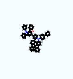 c1ccc(-c2ccc(N(c3ccc(-c4cc5c6ccccc6n(-c6ccccc6)c5c5c4oc4ccccc45)cc3)c3ccc4c(c3)C3(c5ccccc5-c5ccccc53)c3ccccc3-4)cc2)cc1